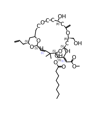 C=CC[C@H]1CC2CCOCC[C@@H](O)CC(=C)O[C@@H](CO)C[C@@H]3C/C(=C\C(=O)OC)[C@H](OC(=O)CCCCCCC)[C@@](O)(O3)C(C)(C)/C=C/[C@H](O2)O1